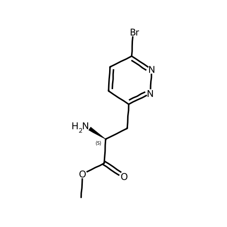 COC(=O)[C@@H](N)Cc1ccc(Br)nn1